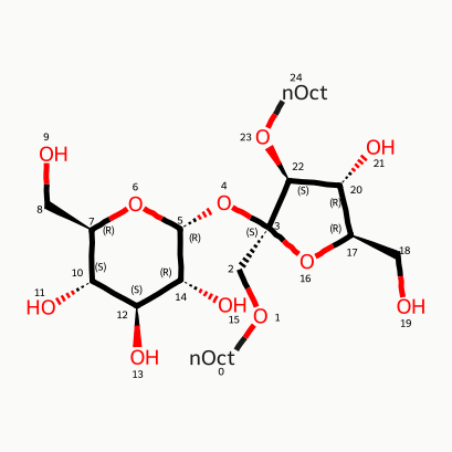 CCCCCCCCOC[C@@]1(O[C@H]2O[C@H](CO)[C@@H](O)[C@H](O)[C@H]2O)O[C@H](CO)[C@@H](O)[C@@H]1OCCCCCCCC